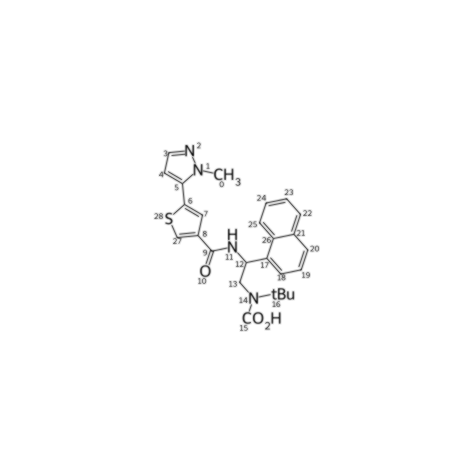 Cn1nccc1-c1cc(C(=O)NC(CN(C(=O)O)C(C)(C)C)c2cccc3ccccc23)cs1